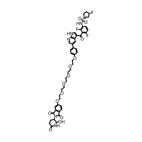 O=C1CCC(N2C(=O)c3ccc(OCCOCCOCCOCCOCCOc4ccc(-c5cnc6[nH]cc(C(=O)c7c(F)ccc(NS(=O)(=O)N8CC[C@@H](F)C8)c7F)c6c5)cc4)cc3C2=O)C(O)N1